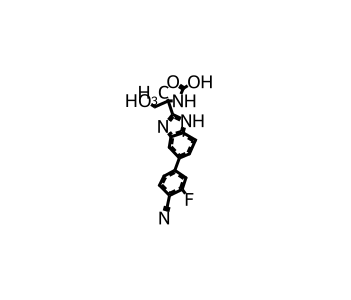 CC(CO)(NC(=O)O)c1nc2cc(-c3ccc(C#N)c(F)c3)ccc2[nH]1